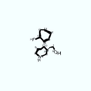 OC[C@H]1CNCC[C@@H]1c1ccccc1F